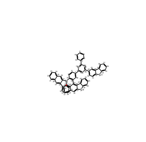 c1ccc(-c2nc(-c3ccc(-n4c5ccccc5c5cc6ccccc6cc54)c(-c4c5ccccc5cc5sc6ccccc6c45)c3)nc(-c3ccc4sc5ccccc5c4c3)n2)cc1